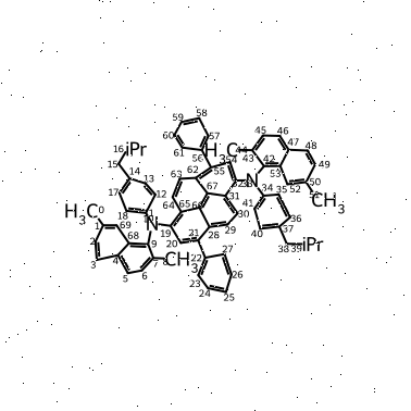 Cc1ccc2ccc(C)c(N(c3ccc(CC(C)C)cc3)c3cc(-c4ccccc4)c4ccc5c(N(c6ccc(CC(C)C)cc6)c6c(C)ccc7ccc(C)cc67)cc(-c6ccccc6)c6ccc3c4c65)c2c1